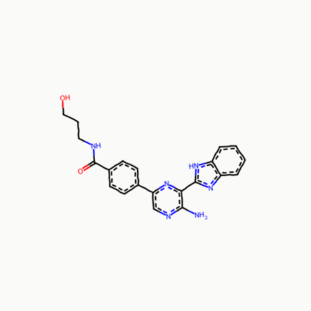 Nc1ncc(-c2ccc(C(=O)NCCCO)cc2)nc1-c1nc2ccccc2[nH]1